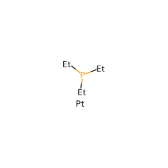 CCP(CC)CC.[Pt]